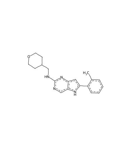 Cc1ccccc1-c1cc2nc(NCC3CCOCC3)ncc2[nH]1